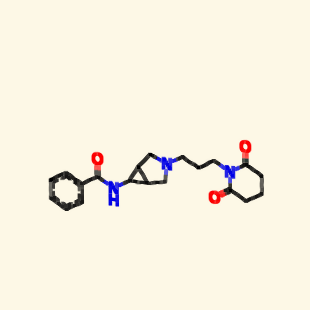 O=C(NC1C2CN(CCCN3C(=O)CCCC3=O)CC21)c1ccccc1